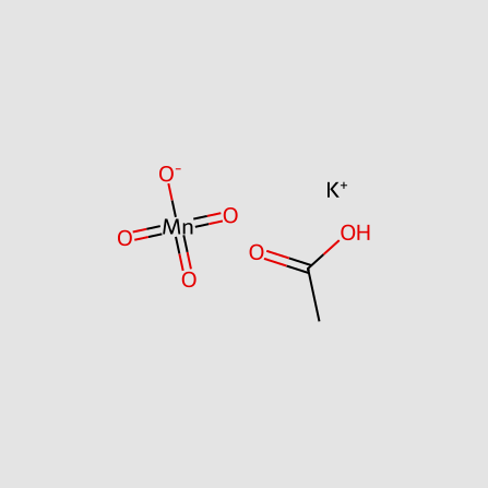 CC(=O)O.[K+].[O]=[Mn](=[O])(=[O])[O-]